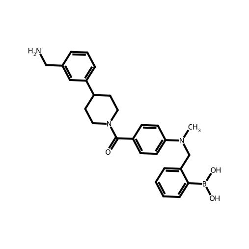 CN(Cc1ccccc1B(O)O)c1ccc(C(=O)N2CCC(c3cccc(CN)c3)CC2)cc1